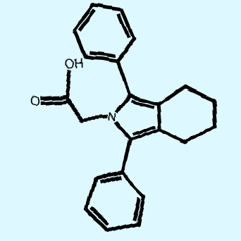 O=C(O)Cn1c(-c2ccccc2)c2c(c1-c1ccccc1)CCCC2